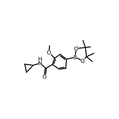 COc1cc(B2OC(C)(C)C(C)(C)O2)ccc1C(=O)NC1CC1